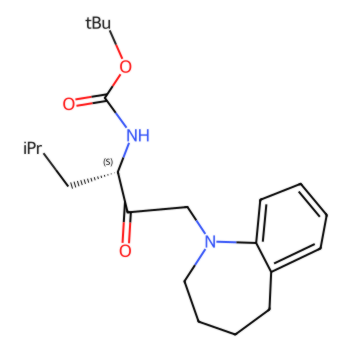 CC(C)C[C@H](NC(=O)OC(C)(C)C)C(=O)CN1CCCCc2ccccc21